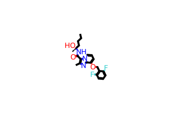 CCCC[C@@](C)(O)NC(=O)c1c(C)nc2c(OCc3c(F)cccc3F)cccn12